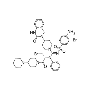 Nc1ccc(S(=O)(=O)N=C(N2CCC(N3Cc4ccccc4NC3=O)CC2)N(c2ccccc2)[C@@H](CBr)C(=O)N2CCC(N3CCCCC3)CC2)cc1Br